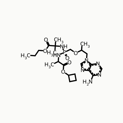 CCCOC(=O)C(C)(C)NP(=O)(COC(C)Cn1cnc2c(N)ncnc21)NC(C)C(=O)OC1CCC1